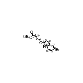 CC(C)(C)OC(=O)NCCOc1ccc2cc(Br)ccc2n1